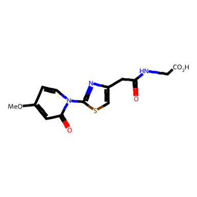 COc1ccn(-c2nc(CC(=O)NCC(=O)O)cs2)c(=O)c1